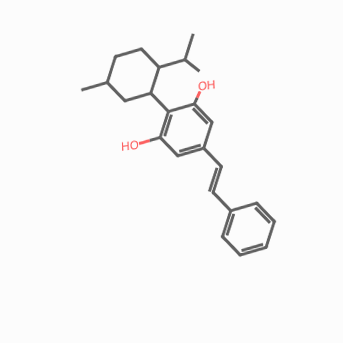 CC1CCC(C(C)C)C(c2c(O)cc(/C=C/c3ccccc3)cc2O)C1